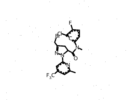 Cc1cc(C(F)(F)F)cc(N2N=C(CBr)CC2C(=O)N(C)c2ccc(F)c(Cl)c2)n1